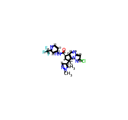 Cn1cc([C@@]2(C)C[C@@H](C(=O)Nc3ccnc(C(F)(F)F)c3)c3cnc4cc(Cl)nn4c32)cn1